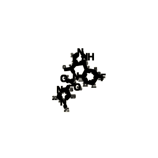 CC1c2cn[nH]c2-c2cc(F)ccc2N1S(=O)(=O)c1cn(C)cn1